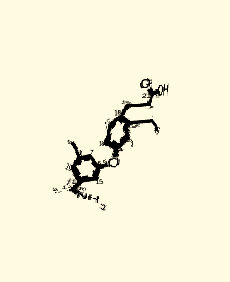 CCc1cc(Oc2cc(C)cc([C@@H](C)N)c2)ccc1CCC(=O)O